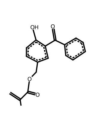 C=C(C)C(=O)OCc1ccc(O)c(C(=O)c2ccccc2)c1